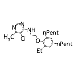 CCCCCc1cc(CC)c(OCCNc2ncnc(C)c2Cl)c(CCCCC)c1